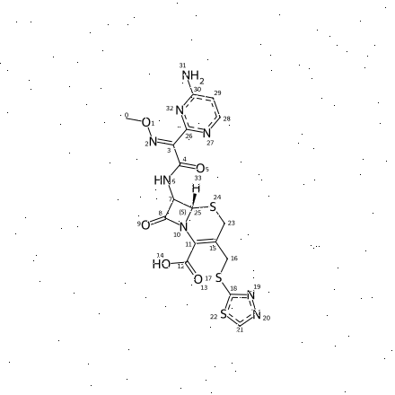 CON=C(C(=O)NC1C(=O)N2C(C(=O)O)=C(CSc3nncs3)CS[C@@H]12)c1nccc(N)n1